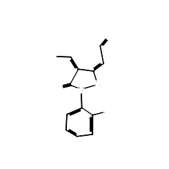 C/C=C1\C(=O)N(c2ccccc2Cl)B\C1=C\C=O